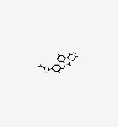 CC1CN(C(=O)N(Cc2ccc(-c3nnc(C(F)F)o3)cc2F)c2ccc(F)cc2)CC(C)S1(=N)=O